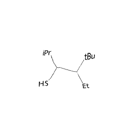 CCC(C(S)C(C)C)C(C)(C)C